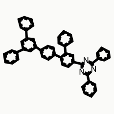 c1ccc(-c2cc(-c3ccccc3)cc(-c3ccc(-c4ccc(-c5nc(-c6ccccc6)nc(-c6ccccc6)n5)cc4-c4ccccc4)cc3)c2)cc1